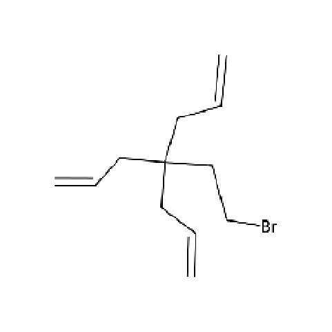 C=CCC(CC=C)(CC=C)CCBr